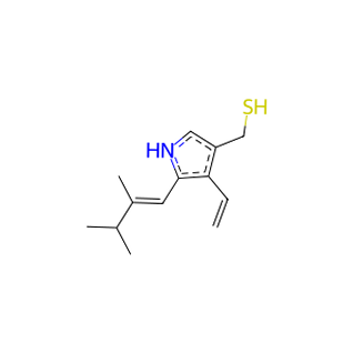 C=Cc1c(CS)c[nH]c1/C=C(\C)C(C)C